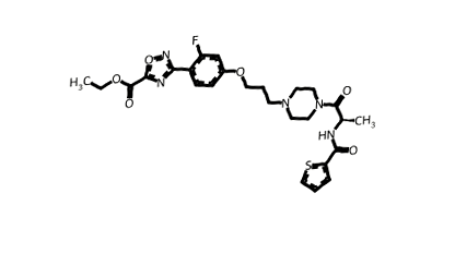 CCOC(=O)c1nc(-c2ccc(OCCCN3CCN(C(=O)[C@@H](C)NC(=O)c4cccs4)CC3)cc2F)no1